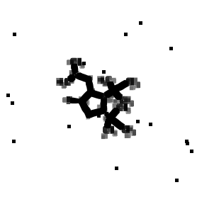 CN(C)CC1[C@H](F)C[C@@H](C(C)(C)C)N1C(C)(C)C